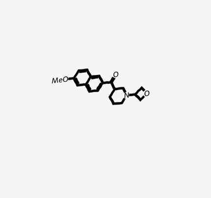 COc1ccc2cc(C(=O)C3CCCN(C4COC4)C3)ccc2c1